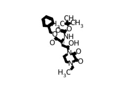 CCN1CCN(C(O)C[C@H](NC(=O)OC(C)(C)C)C(=O)OCc2ccccc2)C(=O)C1=O